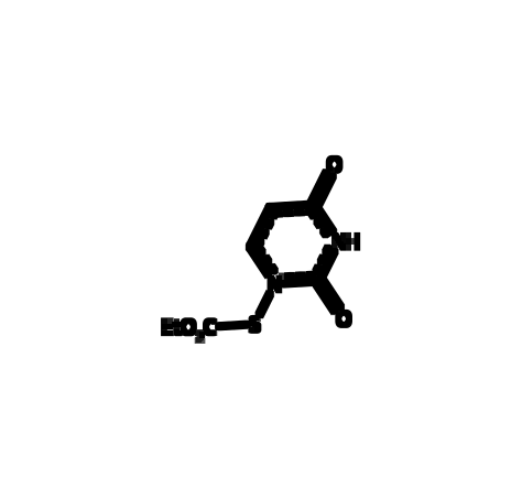 CCOC(=O)Sn1ccc(=O)[nH]c1=O